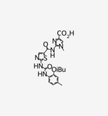 Cc1ccc(NC(=O)Nc2ncc(C(=O)Nc3nc(C(=O)O)cn3C)s2)c(OCC(C)C)c1